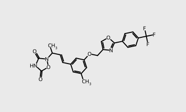 Cc1cc(/C=C/C(C)n2oc(=O)[nH]c2=O)cc(OCc2coc(-c3ccc(C(F)(F)F)cc3)n2)c1